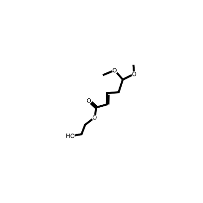 COC(CC=CC(=O)OCCO)OC